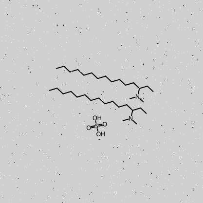 CCCCCCCCCCCCC(CC)N(C)C.CCCCCCCCCCCCC(CC)N(C)C.O=S(=O)(O)O